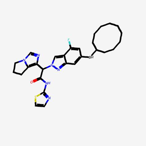 O=C(Nc1nccs1)C(c1ncn2c1CCC2)n1cc2c(F)cc(BC3CCCCCCCCC3)cc2n1